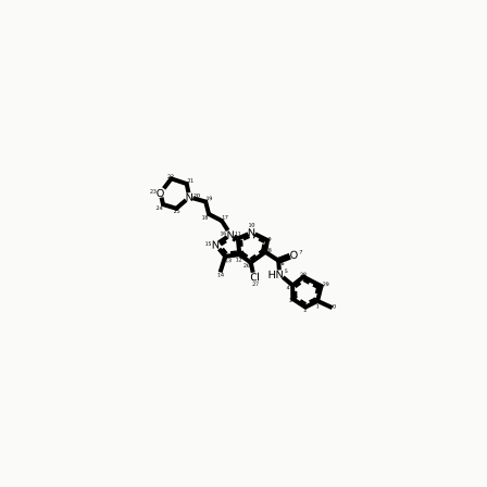 Cc1ccc(NC(=O)c2cnc3c(c(C)nn3CCCN3CCOCC3)c2Cl)cc1